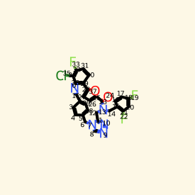 N#Cc1ccc(Cn2cnnc2CN(Cc2ccc(F)cc2F)C(=O)c2ccc(-c3ccc(F)c(Cl)c3)o2)cc1